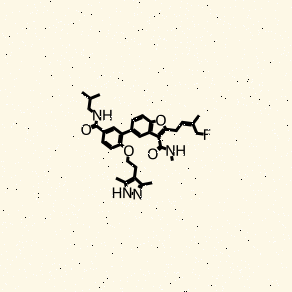 CNC(=O)c1c(CC=C(C)CF)oc2ccc(-c3cc(C(=O)NCC(C)C)ccc3OCCc3c(C)n[nH]c3C)cc12